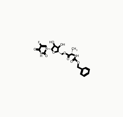 C[C@H](NC(=O)OCc1ccccc1)C(=O)OC[C@@H]1O[C@H](n2cc(F)c(=O)[nH]c2=O)C(O)C1O